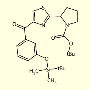 CC(C)(C)OC(=O)N1CCC[C@H]1c1nc(C(=O)c2cccc(O[Si](C)(C)C(C)(C)C)c2)cs1